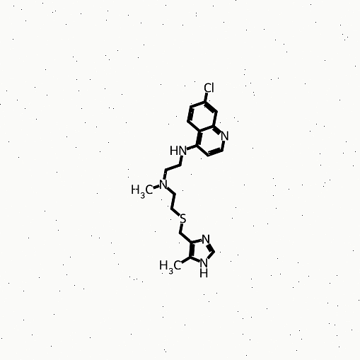 Cc1[nH]cnc1CSCCN(C)CCNc1ccnc2cc(Cl)ccc12